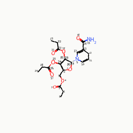 CCC(=O)OCC1O[C@@H](N2C=CCC(C(N)=O)=C2)[C@H](OC(=O)CC)C1OC(=O)CC